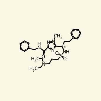 CCN(CC)CCCS(=O)(=O)N[C@H](CCc1ccccc1)c1nc(C(=O)NCc2ccccc2)nn1C